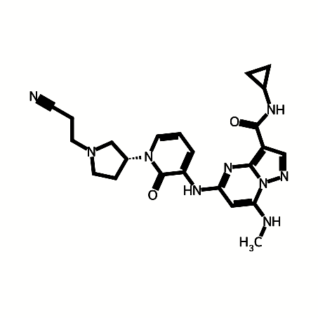 CNc1cc(Nc2cccn([C@@H]3CCN(CCC#N)C3)c2=O)nc2c(C(=O)NC3CC3)cnn12